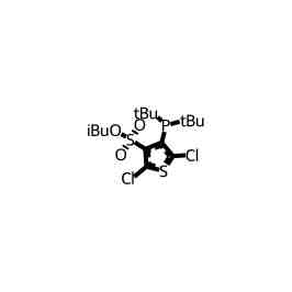 CC(C)COS(=O)(=O)c1c(Cl)sc(Cl)c1P(C(C)(C)C)C(C)(C)C